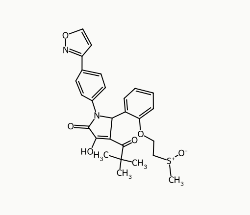 C[S+]([O-])CCOc1ccccc1C1C(C(=O)C(C)(C)C)=C(O)C(=O)N1c1ccc(-c2ccon2)cc1